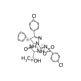 C[C@@H](O)C(N/C(=N\S(=O)(=O)c1ccc(Cl)cc1)N1C[C@H](c2ccccc2)C(c2ccc(Cl)cc2)=N1)C(N)=O